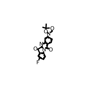 CC(C)(C)ON(C=O)c1ccc2c(=O)n3c(nc2c1)C(=O)c1cc(F)ccc1-3